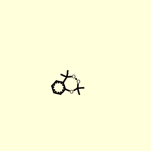 CC1(C)OOC(C)(C)c2ccccc2O1